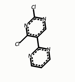 Clc1ncc(-c2ncccn2)c(Cl)n1